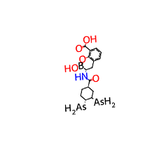 O=C(O)c1cccc2c1OB(O)[C@@H](NC(=O)[C@@H]1CC[C@@H]([AsH2])[C@H]([AsH2])C1)C2